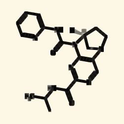 CC(NC(=O)c1ncc2c(n1)N(C(=O)Nc1ccccn1)[C@H]1CCN2C1)C(F)(F)F